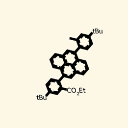 CCOC(=O)c1cc(C(C)(C)C)ccc1-c1cc2cccc3c(-c4ccc(C(C)(C)C)cc4C)cc4cccc1c4c23